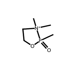 C[N+]1(C)CCOP1(C)=O